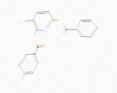 [CH2]Cc1ccc(C(=O)Oc2nc(OC(=O)c3ccccc3)ccc2C#N)cc1